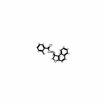 Cc1ccccc1C(=O)O/N=C1\COc2ccc3ccccc3c21